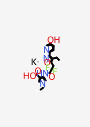 CCc1c(-c2ccc(O)cn2)noc1CC(F)(F)C(=O)Nc1cn(CC)cc1C(=O)O.[K]